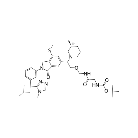 CSc1cc(C(COCNC(=O)CNC(=O)OC(C)(C)C)N2CCC[C@H](C)C2)cc2c1CN(c1cccc(C3(c4nncn4C)CC(C)C3)c1)C2=O